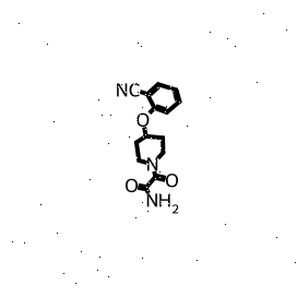 N#Cc1ccccc1OC1CCN(C(=O)C(N)=O)CC1